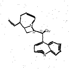 C=CC1CCCN2C1C[C@@H]2[C@@H](O)c1ccnc2ccccc12